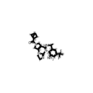 CC(NC1=NC2=NCCN2C2=C1CN(C(=O)C13CC(C1)C3)C2)c1cc(N)cc(C(F)(F)F)c1